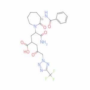 NC(=O)C(CC(CC(=O)Cn1nnc(C(F)(F)F)n1)C(=O)O)N1CCCC[C@H](NC(=O)c2ccccc2)C1=O